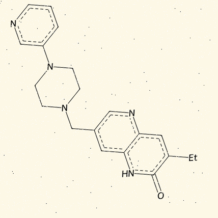 CCc1cc2ncc(CN3CCN(c4cccnc4)CC3)cc2[nH]c1=O